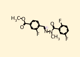 COC(=O)c1ccc(/C=N/N(C)C(=O)c2cc(F)ccc2F)c(F)c1